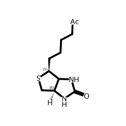 CC(=O)CCCC[C@@H]1SC[C@@H]2NC(=O)NC21